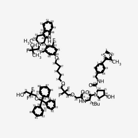 Cc1ncsc1-c1ccc(CNC(=O)[C@@H]2C[C@@H](O)CN2C(=O)[C@@H](NC(=O)COCC(F)(F)COCCCCCOc2cc(F)c([C@@H]3c4[nH]c5ccccc5c4C[C@@H](C)N3CC(C)(C)F)c(F)c2)C(C)(C)C)cc1.OCC(F)(F)COC(c1ccccc1)(c1ccccc1)c1ccccc1